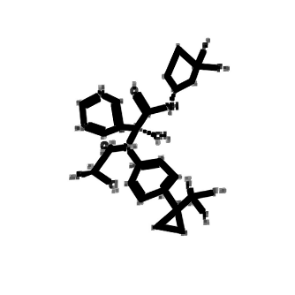 C[C@@](C(=O)N[C@@H]1CCC(F)(F)C1)(c1cncnc1)N(C(=O)[C@H](F)Cl)c1ccc(C2(C(F)(F)F)CC2)cc1